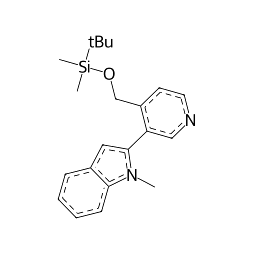 Cn1c(-c2cnccc2CO[Si](C)(C)C(C)(C)C)cc2ccccc21